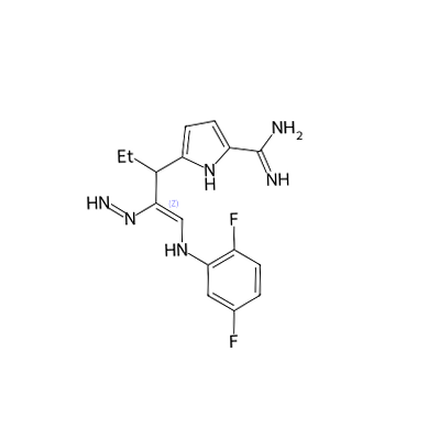 CCC(/C(=C/Nc1cc(F)ccc1F)N=N)c1ccc(C(=N)N)[nH]1